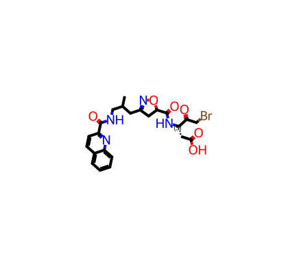 CC(CNC(=O)c1ccc2ccccc2n1)CC1=NOC(C(=O)N[C@@H](CC(=O)O)C(=O)CBr)C1